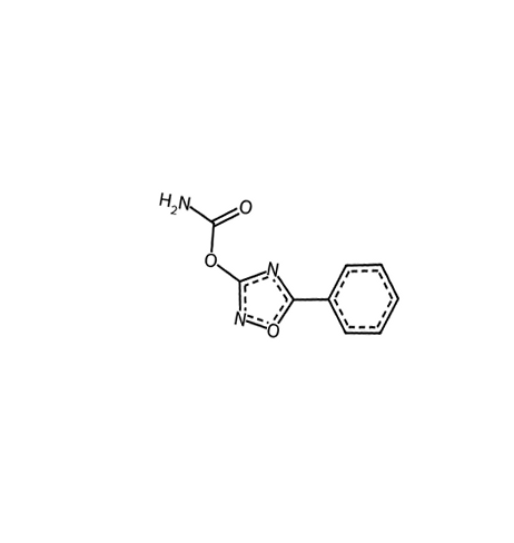 NC(=O)Oc1noc(-c2ccccc2)n1